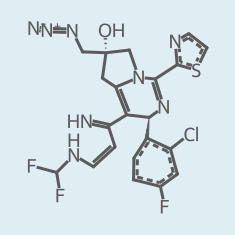 [N-]=[N+]=NC[C@]1(O)CC2=C(C(=N)/C=C\NC(F)F)[C@H](c3ccc(F)cc3Cl)N=C(c3nccs3)N2C1